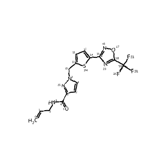 C=CCNC(=O)c1ccn(Cc2ccc(-c3noc(C(F)(F)F)n3)s2)n1